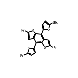 CC(C)c1ccc(-c2c3cc(C(C)C)sc3c(-c3ccc(C(C)(C)C)s3)c3cc(C(C)C)sc23)s1